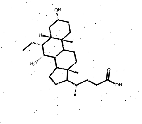 CC[C@H]1[C@@H](O)C2C3CCC([C@@H](C)CCC(=O)O)[C@@]3(C)CCC2[C@@]2(C)CC[C@@H](O)C[C@@H]12